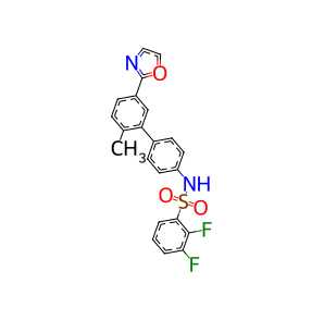 Cc1ccc(-c2ncco2)cc1-c1ccc(NS(=O)(=O)c2cccc(F)c2F)cc1